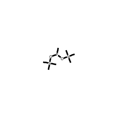 CP(O[Si](C)(C)C)O[Si](C)(C)C